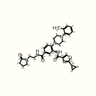 Cc1ccccc1N1CCN(c2ccc(C(=O)NCCN3CCCC3=O)cc2NC(=O)c2coc(C3CC3)n2)CC1